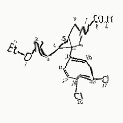 CCON=CC1C2CN(C(=O)O)CC12c1ccc(Cl)c(Cl)c1